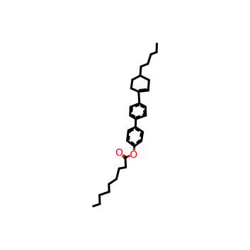 CCCCCCCCC(=O)Oc1ccc(-c2ccc(C3=CCC(CCCCC)CC3)cc2)cc1